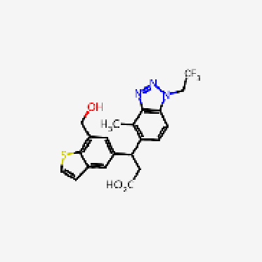 Cc1c(C(CC(=O)O)c2cc(CO)c3sccc3c2)ccc2c1nnn2CC(F)(F)F